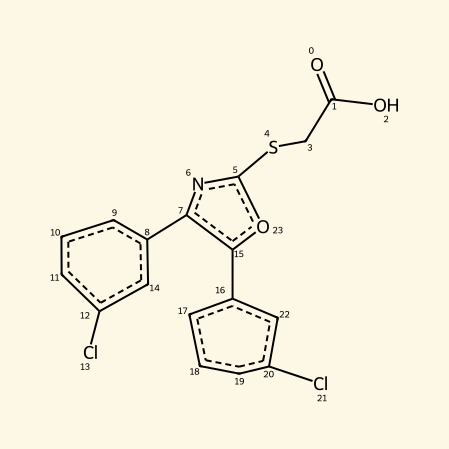 O=C(O)CSc1nc(-c2cccc(Cl)c2)c(-c2cccc(Cl)c2)o1